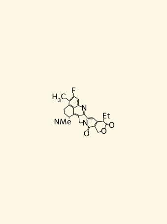 CCC1C(=O)OCc2c1cc1n(c2=O)Cc2c-1nc1cc(F)c(C)c3c1c2[C@@H](NC)CC3